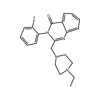 CCN1CCN(Cc2nc3ccccc3c(=O)n2-c2ccccc2F)CC1